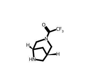 O=C(N1C[C@@H]2CN[C@@H](C2)C1)C(F)(F)F